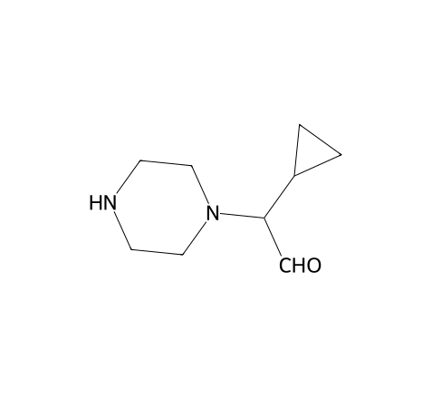 O=CC(C1CC1)N1CCNCC1